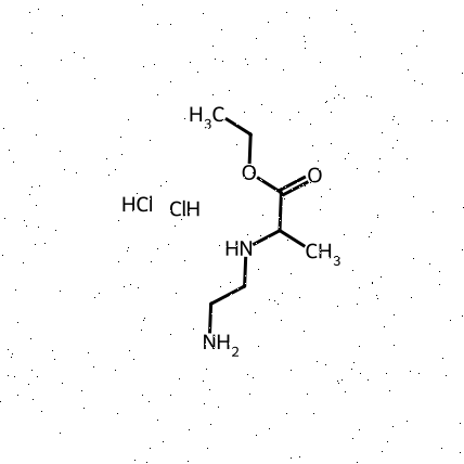 CCOC(=O)C(C)NCCN.Cl.Cl